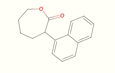 O=C1OCCCCC1c1cccc2ccccc12